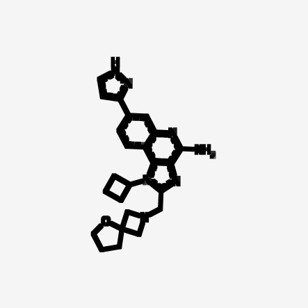 Nc1nc2cc(-c3cc[nH]n3)ccc2c2c1nc(CN1CC3(CCCO3)C1)n2C1CCC1